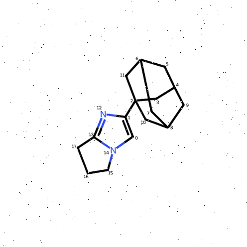 c1c(C23CC4CC(CC(C4)C2)C3)nc2n1CCC2